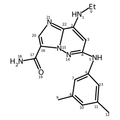 CCNc1cc(Nc2cc(C)cc(C)c2)nn2c(C(N)=O)cnc12